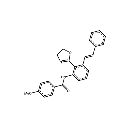 COc1ccc(C(=O)Nc2cccc(/C=C/c3ccccc3)c2C2=NCCO2)cc1